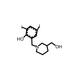 OCC1CCCN(Cc2cc(I)cc(I)c2O)C1